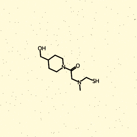 CN(CS)CC(=O)N1CCC(CO)CC1